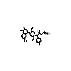 CC[C@H]1CN(C(C(=O)CN=[N+]=[N-])c2ccc(C)cc2)[C@H](CC)CN1c1nc(=O)n(C)c2ccc(Cl)nc12